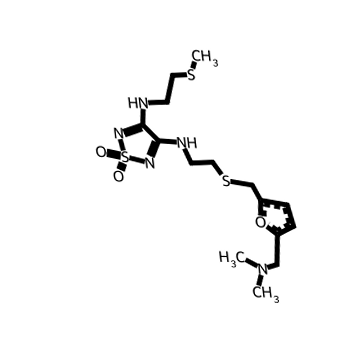 CSCCNC1=NS(=O)(=O)N=C1NCCSCc1ccc(CN(C)C)o1